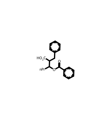 CCCC(OC(=O)c1ccccc1)C(Cc1ccccc1)C(=O)O